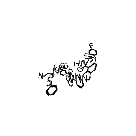 CN(C)CC[C@H](CSc1ccccc1)Nc1ccc(S(=O)(=O)NC(=O)c2cccc(N3CCc4cccc(C(=O)Nc5nc6ccc(F)cc6s5)c4C3)n2)cc1S(=O)(=O)C(F)(F)F